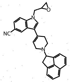 N#Cc1ccc2c(c1)c(C1=CCN(C3Cc4cccc5cccc3c45)CC1)cn2CC1CO1